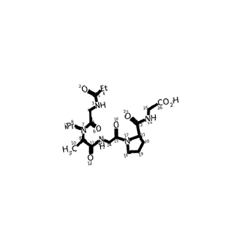 CCC(=O)NCC(=O)N(C(C)C)C(C)C(=O)NCC(=O)N1CCCC1C(=O)NCC(=O)O